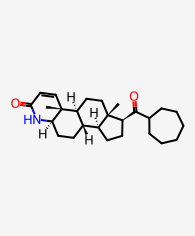 C[C@]12C=CC(=O)N[C@@H]1CC[C@@H]1[C@@H]2CC[C@]2(C)[C@@H](C(=O)C3CCCCCC3)CC[C@@H]12